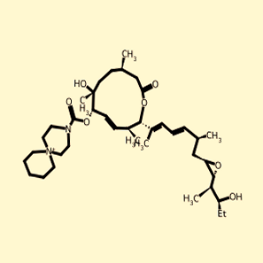 CC[C@H](O)[C@@H](C)[C@H]1O[C@@H]1C[C@H](C)/C=C/C=C(\C)[C@H]1OC(=O)C[C@H](C)CC[C@@](C)(O)[C@@H](OC(=O)N2CC[N+]3(CCCCC3)CC2)/C=C/[C@@H]1C